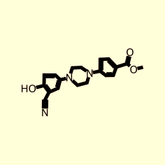 COC(=O)c1ccc(N2CCN(c3ccc(O)c(C#N)c3)CC2)cc1